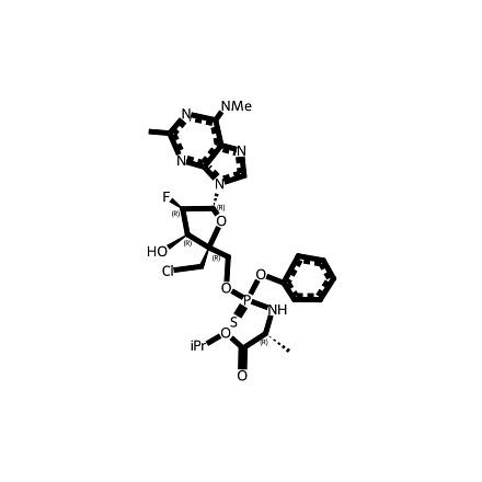 CNc1nc(C)nc2c1ncn2[C@@H]1O[C@](CCl)(COP(=S)(N[C@H](C)C(=O)OC(C)C)Oc2ccccc2)[C@@H](O)[C@H]1F